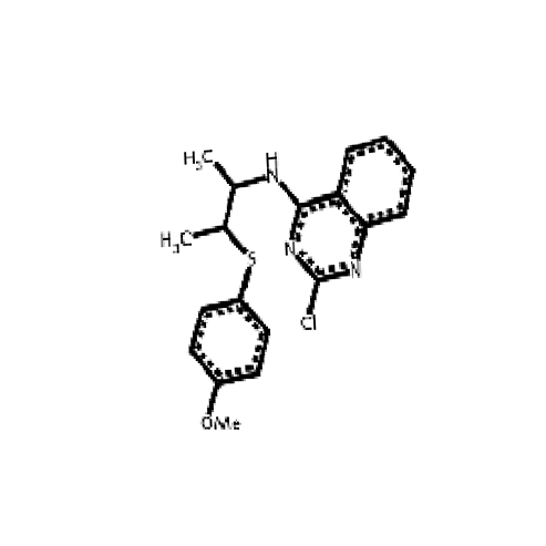 COc1ccc(SC(C)C(C)Nc2nc(Cl)nc3ccccc23)cc1